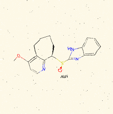 COc1ccnc2c1CCCC[C@H]2[S@+]([O-])c1nc2ccccc2[nH]1.[NaH]